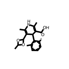 CC1=C(C(=O)O)C(c2c(C)cccc2I)C(C2OC(C)O2)=C(C)N1